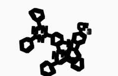 FC(F)(F)c1ccc2c3ccccc3n(-c3ccc(-c4nc(-c5ccccc5)nc(-c5ccccc5)n4)cc3-c3nc(-c4ccccc4)cc(-c4ccccc4)n3)c2c1